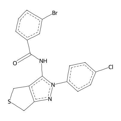 O=C(Nc1c2c(nn1-c1ccc(Cl)cc1)CSC2)c1cccc(Br)c1